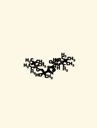 CC(O)(CO[Si](C)(C)C(C)(C)C)c1ncc([SH](N)(=O)N[Si](C)(C)C(C)(C)C)s1